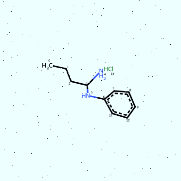 CCCC(N)Nc1ccccc1.Cl